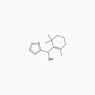 CC1=C(C(O)c2cccs2)C(C)(C)CCC1